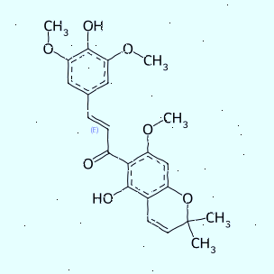 COc1cc(/C=C/C(=O)c2c(OC)cc3c(c2O)C=CC(C)(C)O3)cc(OC)c1O